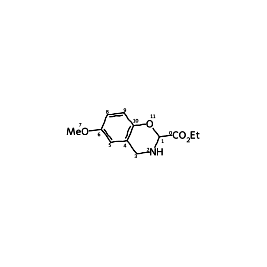 CCOC(=O)C1NCc2cc(OC)ccc2O1